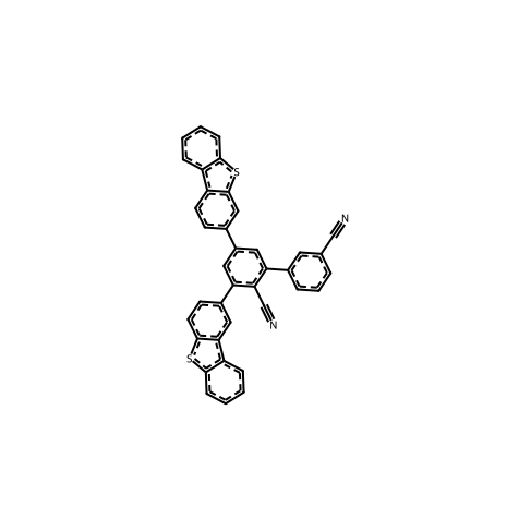 N#Cc1cccc(-c2cc(-c3ccc4c(c3)sc3ccccc34)cc(-c3ccc4sc5ccccc5c4c3)c2C#N)c1